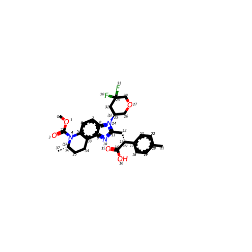 COC(=O)N1c2ccc3c(nc(C[C@@H](C(=O)O)c4ccc(C)cc4)n3[C@@H]3COCC(F)(F)C3)c2CC[C@@H]1C